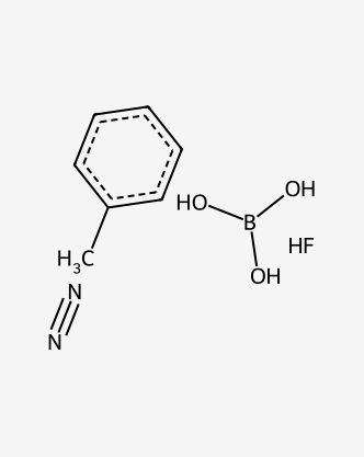 Cc1ccccc1.F.N#N.OB(O)O